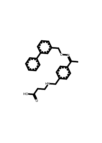 C/C(=N/OCc1cccc(-c2ccccc2)c1)c1ccc(CNCCC(=O)O)cc1